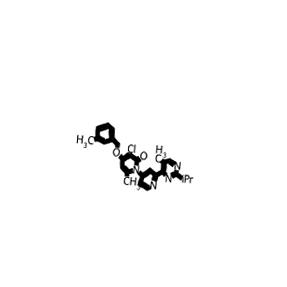 Cc1cccc(COc2cc(C)n(-c3ccnc(-c4nc(C(C)C)ncc4C)c3)c(=O)c2Cl)c1